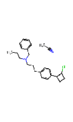 CC#N.CCCN(CCCc1ccc(C2CCC2Cl)cc1)Cc1ccccc1